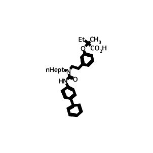 CCCCCCCN(CCc1cccc(OC(C)(CC)C(=O)O)c1)C(=O)Nc1ccc(-c2ccccc2)cc1